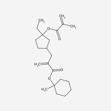 C=C(C)C(=O)OC1(CC)CCC(CC(=C)C(=O)OC2(C)CCCCC2)C1